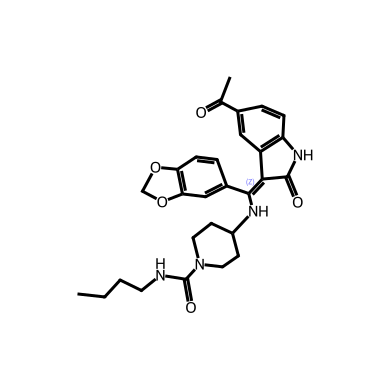 CCCCNC(=O)N1CCC(N/C(=C2\C(=O)Nc3ccc(C(C)=O)cc32)c2ccc3c(c2)OCO3)CC1